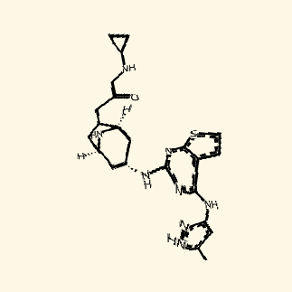 Cc1cc(Nc2nc(N[C@@H]3C[C@H]4CC(CC(=O)CNC5CC5)[C@@H](C3)N4)nc3sccc23)n[nH]1